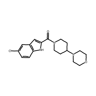 O=C(c1cc2cc(Cl)ccc2[nH]1)N1CCC(N2CCOCC2)CC1